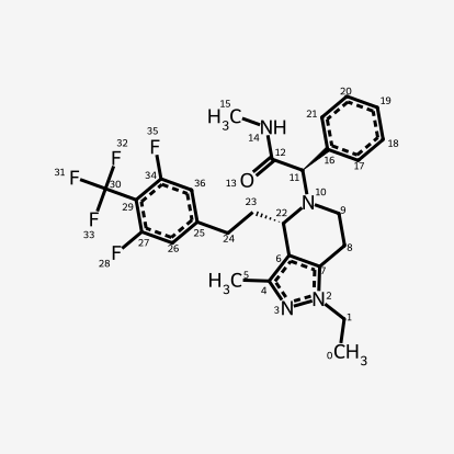 CCn1nc(C)c2c1CCN([C@@H](C(=O)NC)c1ccccc1)[C@H]2CCc1cc(F)c(C(F)(F)F)c(F)c1